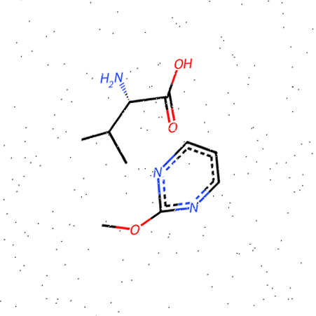 CC(C)[C@H](N)C(=O)O.COc1ncccn1